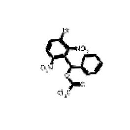 O=C(OC(c1ccccc1)c1c([N+](=O)[O-])ccc(Br)c1[N+](=O)[O-])C(Cl)(Cl)Cl